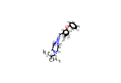 C[C](C)CN1CCN(Cc2cccc(Oc3ccccc3)c2)CC1